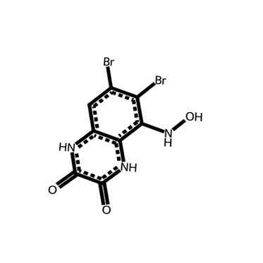 O=c1[nH]c2cc(Br)c(Br)c(NO)c2[nH]c1=O